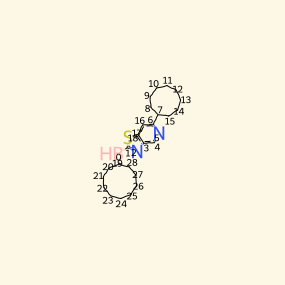 B(c1nc2cnc(C3CCCCCCCC3)cc2s1)C1CCCCCCCCC1